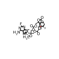 C#CC(COC(=O)C1CC2(CCCCC2)C1)(OC)[C@H](Cn1cnc2c(N)nc(F)nc21)OC(=O)OCc1oc(=O)oc1C